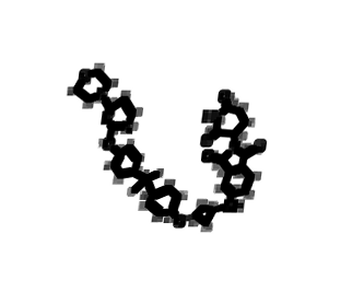 CC(C)(c1ccc(Oc2nccc(N3CCOCC3)n2)cc1)c1ccc(O[C@H]2C[C@H](Nc3ccc4c(c3)C(=O)N(C3CCC(=O)NC3=O)C4=O)C2)cc1